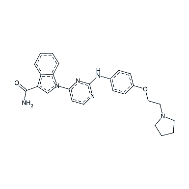 NC(=O)c1cn(-c2ccnc(Nc3ccc(OCCN4CCCC4)cc3)n2)c2ccccc12